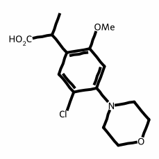 COc1cc(N2CCOCC2)c(Cl)cc1C(C)C(=O)O